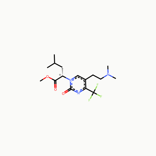 COC(=O)[C@H](CC(C)C)n1cc(CCN(C)C)c(C(F)(F)F)nc1=O